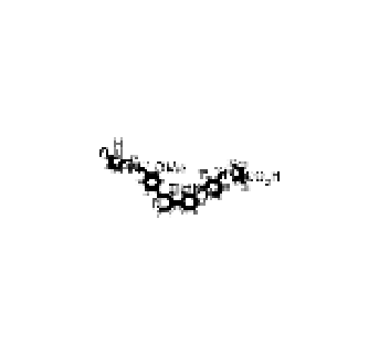 COc1cc(-c2nccc(-c3cccc(Nc4nccc(CN5CC[C@@](C)(C(=O)O)C5)c4F)c3Cl)c2Cl)ccc1CNC[C@H]1CCC(=O)N1